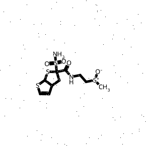 C[S+]([O-])CCNC(=O)C1(S(N)(=O)=O)CC2C=CSC2S1